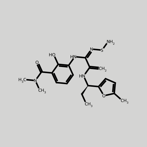 C=C(N[C@H](CC)c1ccc(C)o1)/C(=N\SN)Nc1cccc(C(=O)N(C)C)c1O